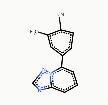 N#Cc1ccc(-c2cccc3ncnn23)cc1C(F)(F)F